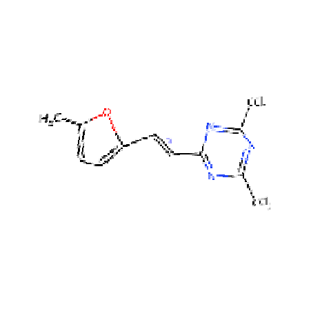 Cc1ccc(/C=C/c2nc(C(Cl)(Cl)Cl)nc(C(Cl)(Cl)Cl)n2)o1